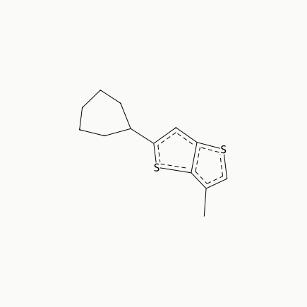 Cc1csc2cc(C3CCCCC3)sc12